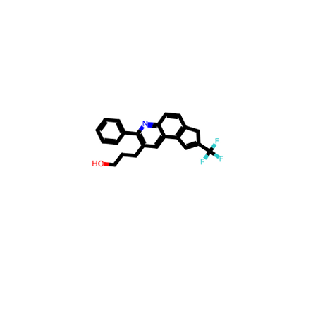 OCCCc1cc2c3c(ccc2nc1-c1ccccc1)CC(C(F)(F)F)=C3